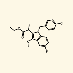 CCOC(=O)C(C)c1c(SC)c2cc(F)ccc2n1Cc1ccc(Cl)cc1